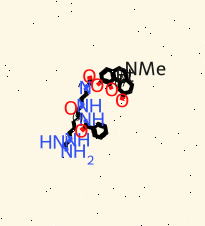 CC[C@]12c3c4ccc(OC(=O)N(C)CCNC(=O)[C@H](CCCNC(=N)N)NC(=O)c5ccccc5)c3OC1C(=O)CCC2[C@H](NC)C4